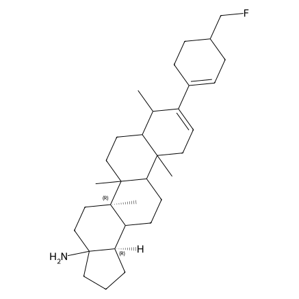 CC1C(C2=CCC(CF)CC2)=CCC2(C)C1CCC1(C)C2CCC2[C@H]3CCCC3(N)CC[C@]21C